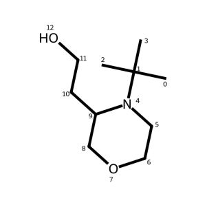 CC(C)(C)N1CCOCC1CCO